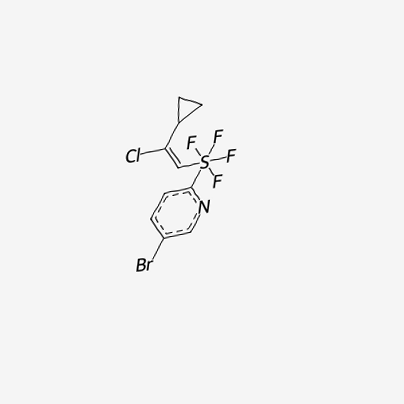 FS(F)(F)(F)(/C=C(/Cl)C1CC1)c1ccc(Br)cn1